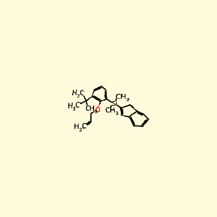 C=CCOc1c(C(C)(C)C)cccc1[Si](C)(C)C1=Cc2ccccc2C1